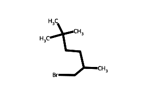 CC(CBr)CCC(C)(C)C